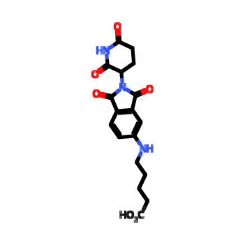 O=C(O)CCCCNc1ccc2c(c1)C(=O)N(C1CCC(=O)NC1=O)C2=O